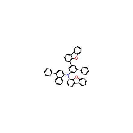 c1ccc(-c2cc(-c3cccc4c3oc3ccccc34)cc(N(c3ccc(-c4ccccc4)c4ccccc34)c3cccc4c3oc3ccccc34)c2)cc1